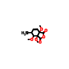 COC1C([SiH3])C=CC2(OC)C(=O)OC(=O)C12OC